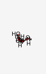 CCOc1cc(C(=O)NCCO)ccc1Nc1nc2ccc(-c3ccc(C(=O)NCC4CC4)cc3)cn2n1